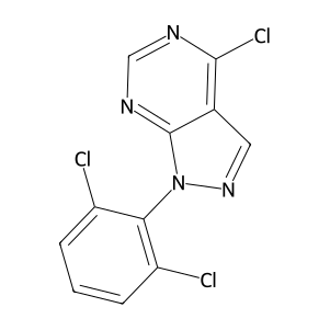 Clc1cccc(Cl)c1-n1ncc2c(Cl)ncnc21